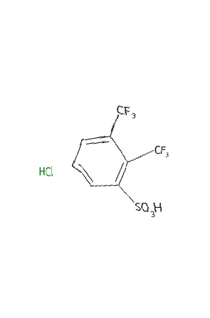 Cl.O=S(=O)(O)c1cccc(C(F)(F)F)c1C(F)(F)F